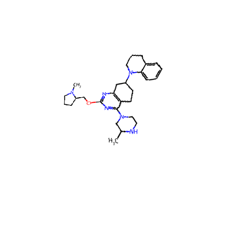 CC1CN(c2nc(OCC3CCCN3C)nc3c2CCC(N2CCCc4ccccc42)C3)CCN1